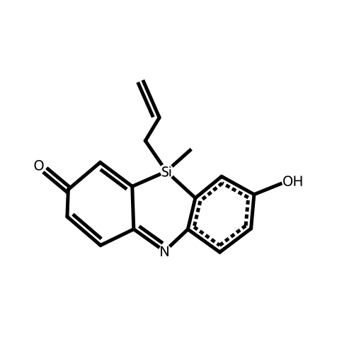 C=CC[Si]1(C)C2=CC(=O)C=CC2=Nc2ccc(O)cc21